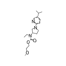 CCN(C(=O)OCCOC)C1CCN(c2ccc(C(C)C)cn2)C1